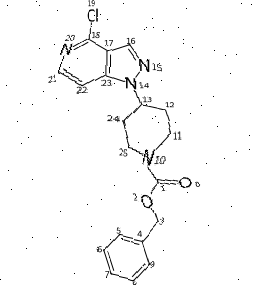 O=C(OCc1ccccc1)N1CCC(n2ncc3c(Cl)nccc32)CC1